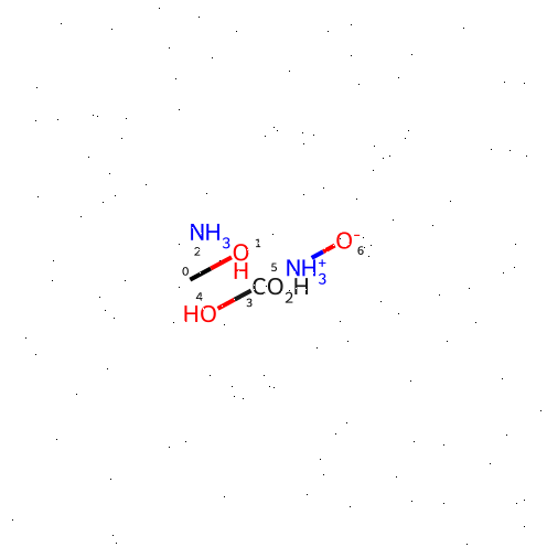 CO.N.O=C(O)O.[NH3+][O-]